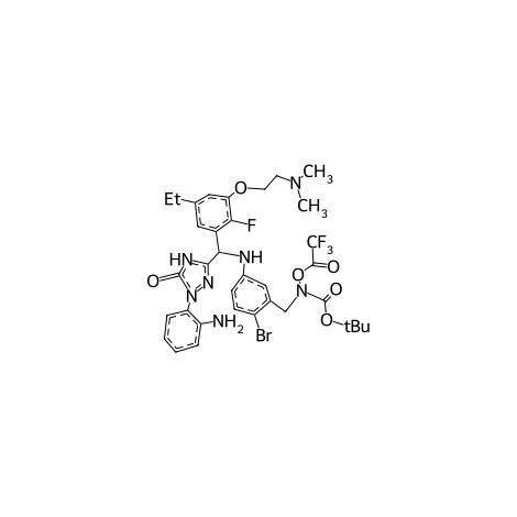 CCc1cc(OCCN(C)C)c(F)c(C(Nc2ccc(Br)c(CN(OC(=O)C(F)(F)F)C(=O)OC(C)(C)C)c2)c2nn(-c3ccccc3N)c(=O)[nH]2)c1